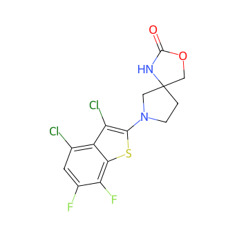 O=C1NC2(CCN(c3sc4c(F)c(F)cc(Cl)c4c3Cl)C2)CO1